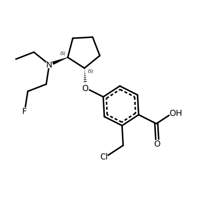 CCN(CCF)[C@H]1CCC[C@@H]1Oc1ccc(C(=O)O)c(CCl)c1